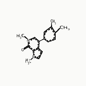 Cc1ccc(-c2cn(C)c(=O)c3c2ccn3C)cc1C